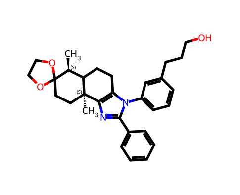 C[C@H]1C2CCc3c(nc(-c4ccccc4)n3-c3cccc(CCCO)c3)[C@@]2(C)CCC12OCCO2